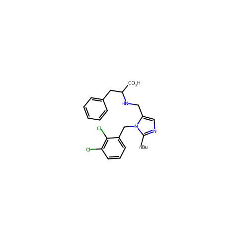 CCCCc1ncc(CNC(Cc2ccccc2)C(=O)O)n1Cc1cccc(Cl)c1Cl